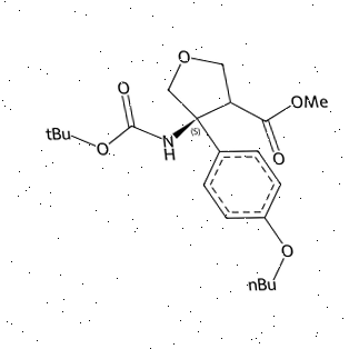 CCCCOc1ccc([C@]2(NC(=O)OC(C)(C)C)COCC2C(=O)OC)cc1